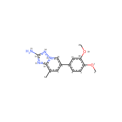 COc1ccc(-c2cc(C)c3nc(N)nn3c2)cc1OC